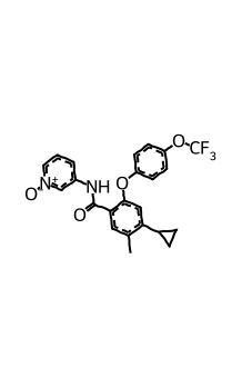 Cc1cc(C(=O)Nc2ccc[n+]([O-])c2)c(Oc2ccc(OC(F)(F)F)cc2)cc1C1CC1